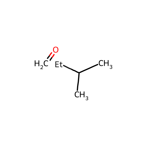 C=O.CCC(C)C